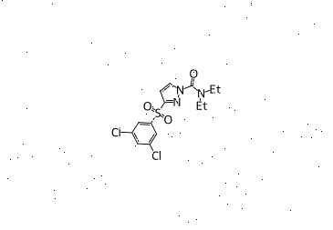 CCN(CC)C(=O)n1ccc(S(=O)(=O)c2cc(Cl)cc(Cl)c2)n1